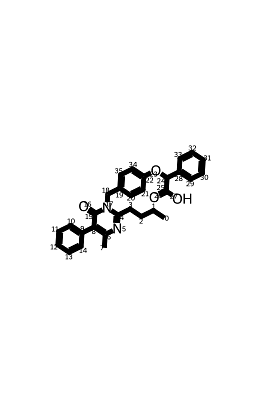 CCCCc1nc(C)c(-c2ccccc2)c(=O)n1Cc1ccc(OC(C(=O)O)c2ccccc2)cc1